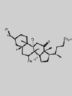 CC(C)NC1CC[C@@]2(C)[C@@H](C1)CC(O)[C@@H]1[C@@H]2CC(=O)[C@]2(C)[C@@H]([C@H](C)CCC(=O)O)CC[C@@H]12